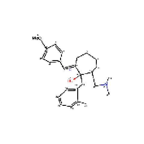 COc1ccc(/C=C2\CCCCC(CN(C)C)C2(O)Cc2ccccc2C)cc1